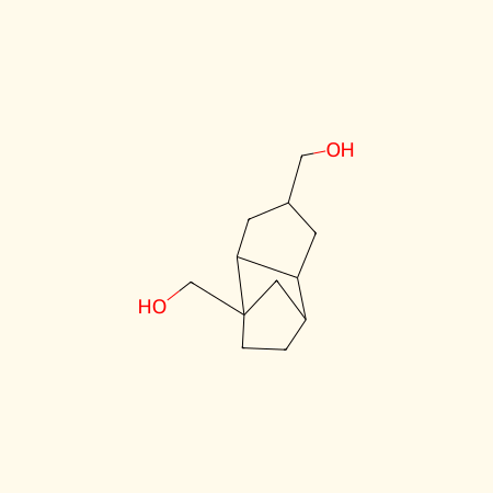 OCC1CC2C3CCC(CO)(C3)C2C1